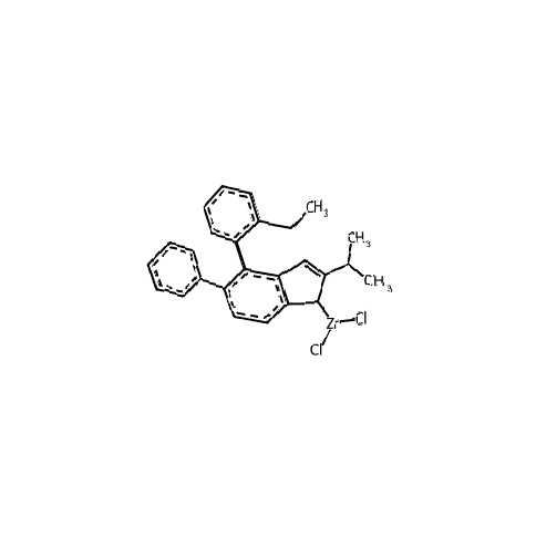 CCc1ccccc1-c1c(-c2ccccc2)ccc2c1C=C(C(C)C)[CH]2[Zr]([Cl])[Cl]